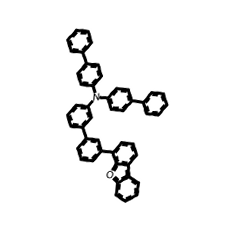 c1ccc(-c2ccc(N(c3ccc(-c4ccccc4)cc3)c3cccc(-c4cccc(-c5cccc6c5oc5ccccc56)c4)c3)cc2)cc1